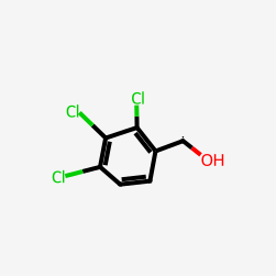 O[CH]c1ccc(Cl)c(Cl)c1Cl